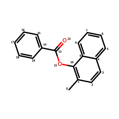 Cc1ccc2ccccc2c1OC(=O)c1ccccc1